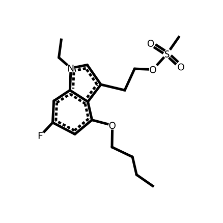 CCCCOc1cc(F)cc2c1c(CCOS(C)(=O)=O)cn2CC